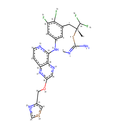 C/N=C(/N)S[C@](C)(Cc1cc(Nc2nccc3nc(OCc4cscn4)cnc23)cc(F)c1F)C(F)F